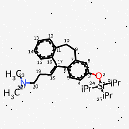 CC(C)[Si](Oc1ccc2c(c1)CCc1ccccc1C2=CCCN(C)C)(C(C)C)C(C)C